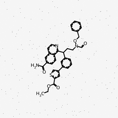 CCOC(=O)c1cc(-c2cccc(C(CCN(C=O)OCc3ccccc3)c3nccc4cc(C(N)=O)ccc34)c2)cs1